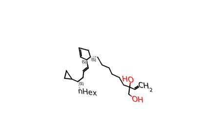 C=CC(O)(CO)CCCCCC[C@H]1CC=C[C@@H]1C=CC[C@H](CCCCCC)C1CC1